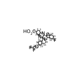 O=C(O)c1ccc2nc(-c3cc4cc(F)ccc4o3)c(N3CCCc4cc(OC=C(F)F)ccc43)nc2c1